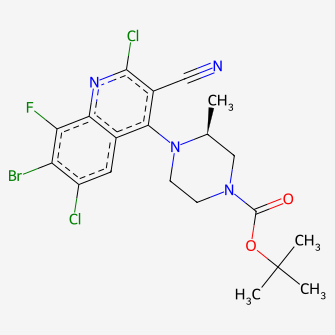 C[C@H]1CN(C(=O)OC(C)(C)C)CCN1c1c(C#N)c(Cl)nc2c(F)c(Br)c(Cl)cc12